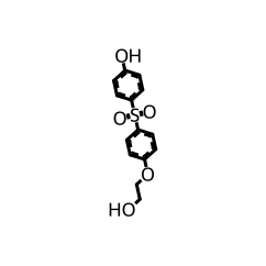 O=S(=O)(c1ccc(O)cc1)c1ccc(OCCO)cc1